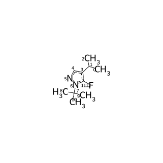 CC(C)c1cnn(C(C)(C)C)c1F